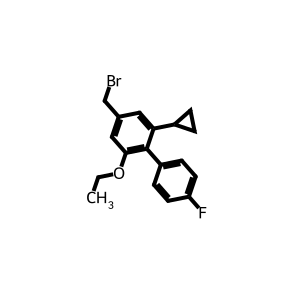 CCOc1cc(CBr)cc(C2CC2)c1-c1ccc(F)cc1